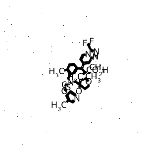 Cc1cnc2c(c1)S(=O)(=O)N(Cc1cc(C(c3ccn4c(C(F)F)nnc4c3C)C(C)(C)C(=O)O)ccc1C)CC1(CCOCC1)O2